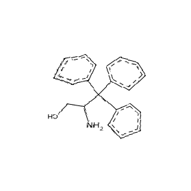 NC(CO)C(c1ccccc1)(c1ccccc1)c1ccccc1